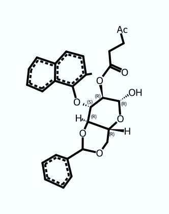 CC(=O)CCC(=O)O[C@@H]1[C@@H](Oc2c(C)ccc3ccccc23)[C@@H]2OC(c3ccccc3)OC[C@H]2O[C@H]1O